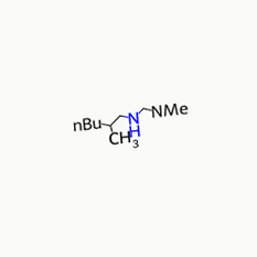 CCCCC(C)CNCNC